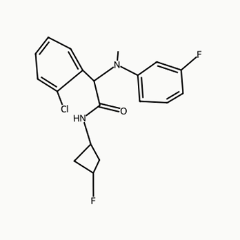 CN(c1cccc(F)c1)C(C(=O)NC1CC(F)C1)c1ccccc1Cl